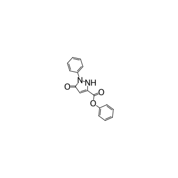 O=C(Oc1ccccc1)c1cc(=O)n(-c2ccccc2)[nH]1